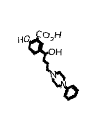 O=C(O)c1cc(C(O)CCCN2CCN(c3ccccc3)CC2)ccc1O